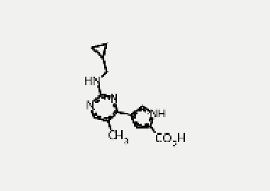 Cc1cnc(NCC2CC2)nc1-c1c[nH]c(C(=O)O)c1